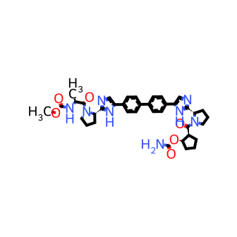 COC(=O)N[C@@H](C)C(=O)N1CCC[C@H]1c1ncc(-c2ccc(-c3ccc(-c4cnc([C@@H]5CCCN5C(=O)[C@H]5CCC[C@@H]5OC(N)=O)[nH]4)cc3)cc2)[nH]1